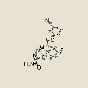 N#Cc1cccc(OCCOc2cnc(C(N)=O)cc2-c2ccc(F)cc2)c1